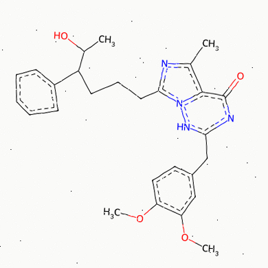 COc1ccc(Cc2nc(=O)c3c(C)nc(CCCC(c4ccccc4)C(C)O)n3[nH]2)cc1OC